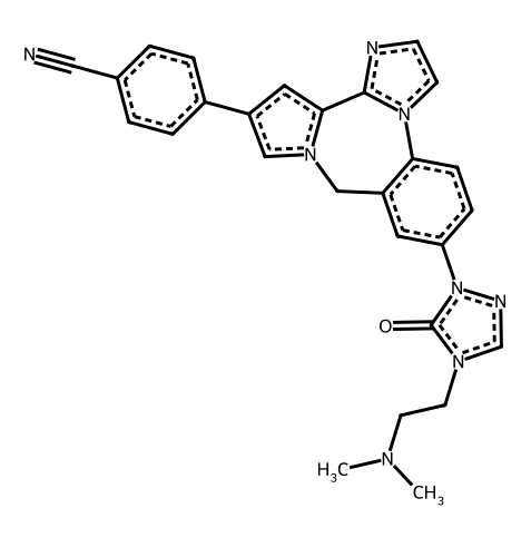 CN(C)CCn1cnn(-c2ccc3c(c2)Cn2cc(-c4ccc(C#N)cc4)cc2-c2nccn2-3)c1=O